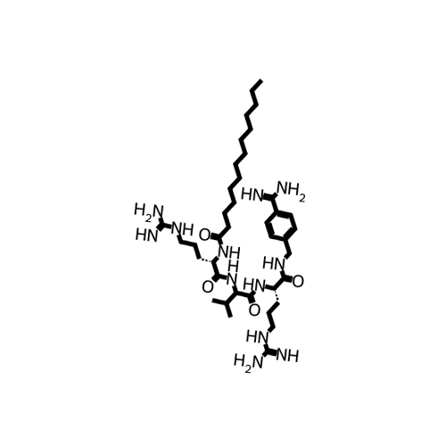 CCCCCCCCCCCCCC(=O)N[C@@H](CCCNC(=N)N)C(=O)NC(C(=O)N[C@@H](CCCNC(=N)N)C(=O)NCc1ccc(C(=N)N)cc1)C(C)C